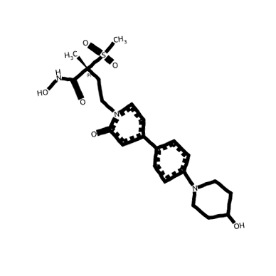 C[C@@](CCn1ccc(-c2ccc(N3CCC(O)CC3)cc2)cc1=O)(C(=O)NO)S(C)(=O)=O